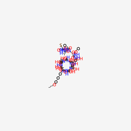 CCCCCOc1ccc(-c2ccc(-c3ccc(C(=O)N[C@H]4C[C@@H](O)[C@@H](O)NC(=O)[C@@H]5[C@@H](O)[C@@H](C)CN5C(=O)[C@H]([C@@H](C)O)NC(=O)[C@H]([C@H](O)[C@@H](O)c5ccc(O)c(NC(=O)[C@H](CCCCNC(=O)[C@H](Cc6ccccc6)NC(=O)[C@H](CC(C)C)NC(=O)[C@H](CCSC)NC=O)NC(=O)OCc6ccccc6)c5)NC(=O)[C@@H]5C[C@@H](O)CN5C(=O)[C@H]([C@@H](C)O)NC4=O)cc3)cc2)cc1